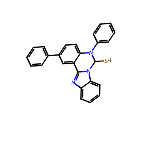 SC1N(c2ccccc2)c2ccc(-c3ccccc3)cc2-c2nc3ccccc3n21